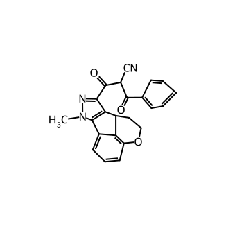 Cn1nc(C(=O)C(C#N)C(=O)c2ccccc2)c2c1-c1cccc3c1C2CCO3